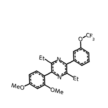 CCc1nc(-c2ccc(OC)cc2OC)c(CC)nc1-c1cccc(OC(F)(F)F)c1